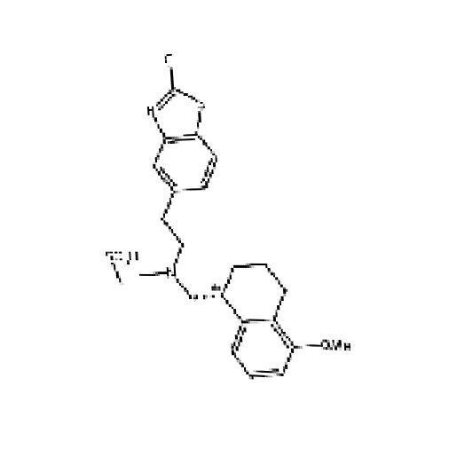 COc1cccc2c1CCC[C@H]2CN(C)CCc1ccc2sc(Cl)nc2c1.CS(=O)(=O)O